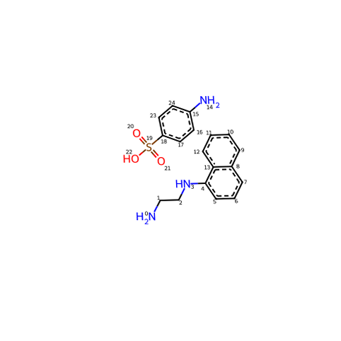 NCCNc1cccc2ccccc12.Nc1ccc(S(=O)(=O)O)cc1